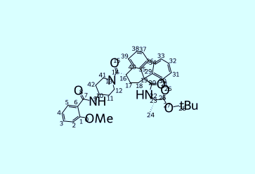 COc1ccccc1C(=O)NC1CCN(C(=O)[C@H]2CC[C@@](C(=O)N[C@@H](C)C(=O)OC(C)(C)C)(c3ccccc3)c3ccccc32)CC1